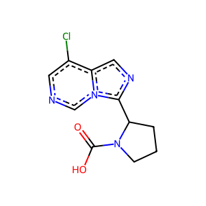 O=C(O)N1CCCC1c1ncc2c(Cl)cncn12